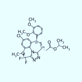 COc1cccc([C@H]2S[C@H](CC(=O)OC(C)C)c3nnc(C(F)(F)F)n3-c3c(OC)cc(Cl)cc32)c1OC